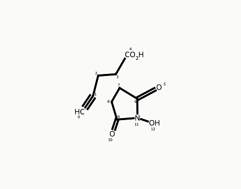 C#CCCC(=O)O.O=C1CCC(=O)N1O